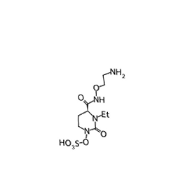 CCN1C(=O)N(OS(=O)(=O)O)CC[C@H]1C(=O)NOCCN